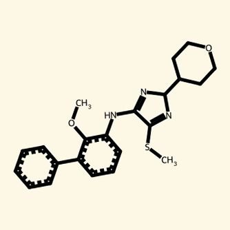 COc1c(NC2=NC(C3CCOCC3)N=C2SC)cccc1-c1ccccc1